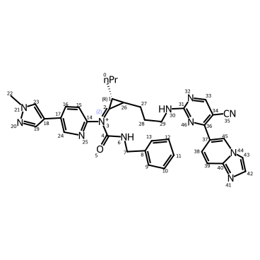 CCC[C@H]1/C(=[N+](/C(=O)NCc2ccccc2)c2ccc(-c3cnn(C)c3)cn2)C1CCCNc1ncc(C#N)c(-c2ccc3nccn3c2)n1